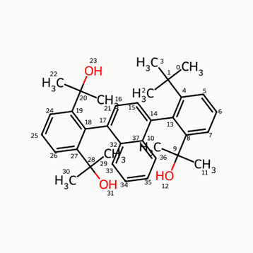 CC(C)(C)c1cccc(C(C)(C)O)c1-c1ccc(-c2c(C(C)(C)O)cccc2C(C)(C)O)c2ccccc12